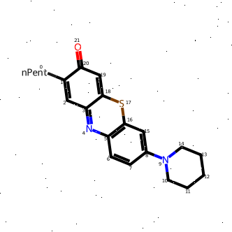 CCCCCc1cc2nc3ccc(N4CCCCC4)cc3sc-2cc1=O